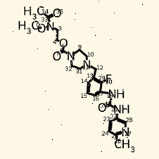 CON(CCOC(=O)N1CCN(Cc2cccc(NC(=O)Nc3ccc(C)nc3)c2F)CC1)C(C)=O